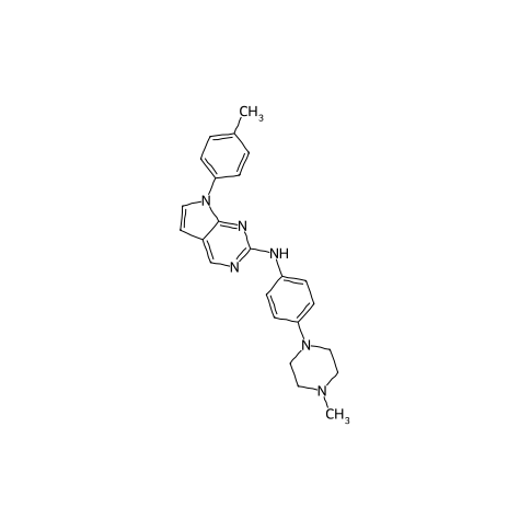 Cc1ccc(-n2ccc3cnc(Nc4ccc(N5CCN(C)CC5)cc4)nc32)cc1